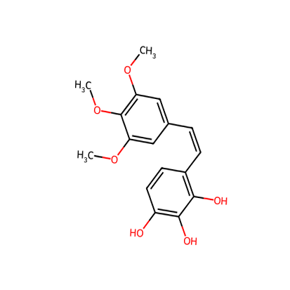 COc1cc(/C=C\c2ccc(O)c(O)c2O)cc(OC)c1OC